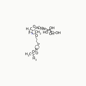 C=C(/C=C(/F)C(=C)CC(=O)N1CC(CNC[C@H](O)[C@@H](O)[C@H](O)CCO)C1)OCCCC1CC12CCN(C(=O)OC(C)C)CC2